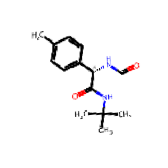 Cc1ccc([C@H](NC=O)C(=O)NC(C)(C)C)cc1